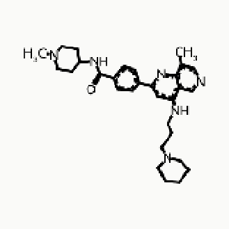 Cc1cncc2c(NCCCN3CCCCC3)cc(-c3ccc(C(=O)NC4CCN(C)CC4)cc3)nc12